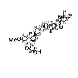 COc1cccc([C@H]2COc3cc(O)ccc3[C@H]2c2ccc(N3CCC(CN4CCN(c5cc6c(cc5F)C(=O)N(C5CCC(=O)NC5=O)C6)CC4)CC3)c(F)c2)c1